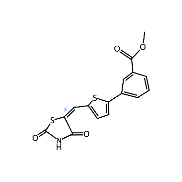 COC(=O)c1cccc(-c2ccc(/C=C3/SC(=O)NC3=O)s2)c1